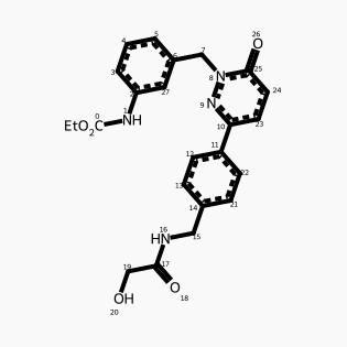 CCOC(=O)Nc1cccc(Cn2nc(-c3ccc(CNC(=O)CO)cc3)ccc2=O)c1